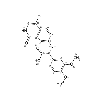 COc1ccc(C(Nc2ccc3c(F)c[nH]c(=O)c3c2)C(=O)O)cc1OC